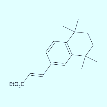 CCOC(=O)C=Cc1ccc2c(c1)C(C)(C)CCC2(C)C